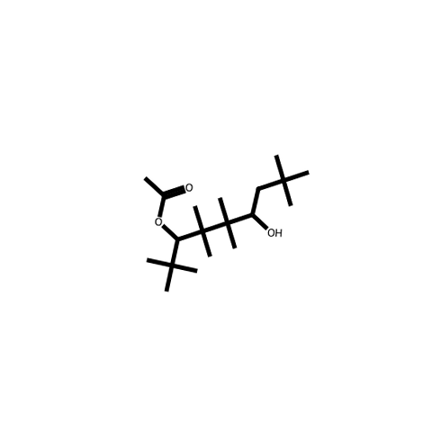 CC(=O)OC(C(C)(C)C)C(C)(C)C(C)(C)C(O)CC(C)(C)C